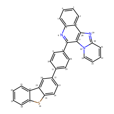 c1ccc2c(c1)nc(-c1ccc(-c3ccc4sc5ccccc5c4c3)cc1)c1c2nc2ccccn21